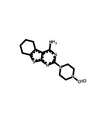 Nc1nc(N2CCN(C=O)CC2)nc2sc3c(c12)CCCC3